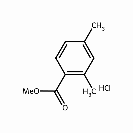 COC(=O)c1ccc(C)cc1C.Cl